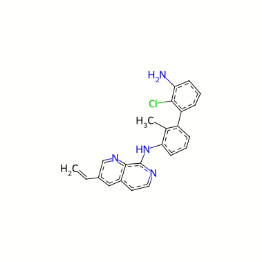 C=Cc1cnc2c(Nc3cccc(-c4cccc(N)c4Cl)c3C)nccc2c1